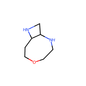 C1COCCC2NCC2N1